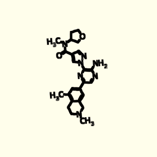 Cc1cc(-c2cnc(N)c(-n3cc(C(=O)N(C)C4CCOC4)cn3)n2)cc2c1CCN(C)C2